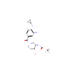 COC1CCN(C(=O)c2cc(N)c(NC3CC3)c(F)c2)CC1NC(=O)OC(C)(C)C